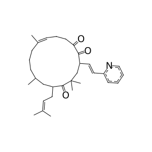 CC(C)=CCC1CC(C)CCCC(C)=CCCC(=O)C(=O)C(C=Cc2ccccn2)CC(C)(C)C1=O